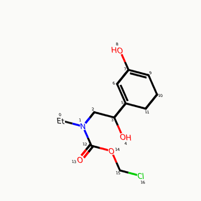 CCN(CC(O)C1=CC(O)=CCC1)C(=O)OCCl